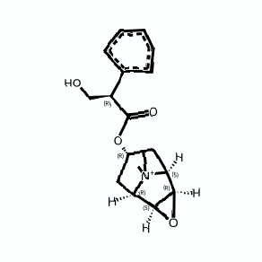 C[N+]1(C)[C@@H]2C[C@H](OC(=O)[C@@H](CO)c3ccccc3)C[C@H]1[C@H]1O[C@H]12